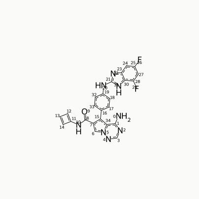 Nc1ncnn2cc(C(=O)NC3=CC=C3)c(-c3ccc(Nc4nc5cc(F)cc(F)c5[nH]4)cc3)c12